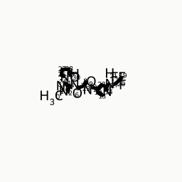 Cn1cc(NC(=O)c2coc(-c3ccnc(NCC(F)(F)F)c3)n2)c(N2CCCC2=O)n1